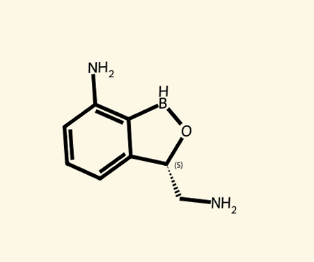 NC[C@H]1OBc2c(N)cccc21